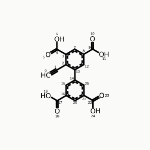 C#Cc1c(C(=O)O)cc(C(=O)O)cc1-c1cc(C(=O)O)cc(C(=O)O)c1